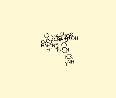 C=C[C@@H]1C[C@]1(NC(=O)[C@@H]1C[C@@H](Oc2cc(-c3csc(NC(C)C)n3)nc3cc(OCP(=O)(O)O)ccc23)CN1C(=O)[C@@H](NC(=O)OC1CCCC1)C(C)(C)C)C(=O)O